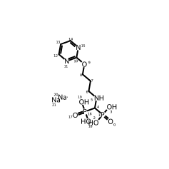 O=P(O)(O)C(NCCCOc1ncccn1)P(=O)(O)O.[Na].[Na]